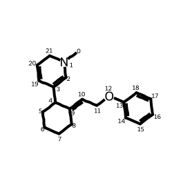 CN1C=C(C2CCCCC2=CCOc2ccccc2)C=CC1